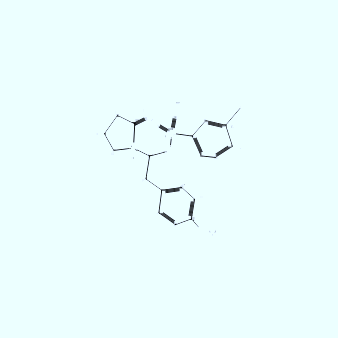 COc1ccc(CC(OS(=O)(=O)c2cccc(C)c2)N2CCCC2=O)cc1